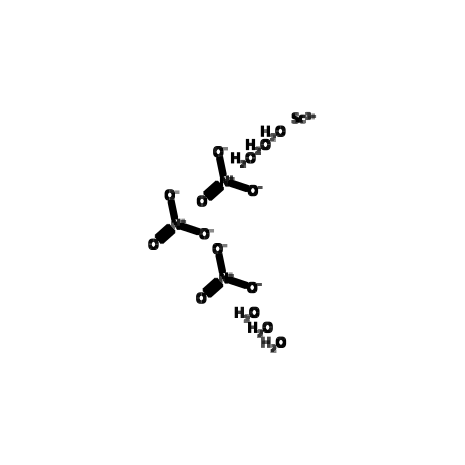 O.O.O.O.O.O.O=[N+]([O-])[O-].O=[N+]([O-])[O-].O=[N+]([O-])[O-].[Sc+3]